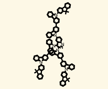 CC1(C)c2ccccc2-c2ccc(-n3c4ccccc4c4cc(-c5ccc6c(c5)c5ccccc5n6-c5ccc6nnc(-n7c8ccccc8c8cc(-c9ccc%10c(c9)c9ccccc9n%10-c9ccc%10c(c9)C(C)(C)c9ccccc9-%10)ccc87)c(-n7c8ccccc8c8cc(-c9ccc%10c(c9)c9ccccc9n%10-c9ccc%10c(c9)C(C)(C)c9ccccc9-%10)ccc87)c6c5)ccc43)cc21